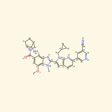 COc1cc(C(=O)N2CC3CCC2C3N)cc2nc(-c3cc4ccc(-c5cncc(C#N)c5)nc4n3CC3CC3)n(C)c12